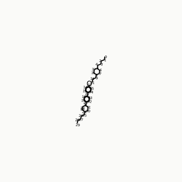 CCCCCC1CCC(CCCOc2ccc(-c3ccc(C4CCC(CCCCC)CC4)cc3)cc2)CC1